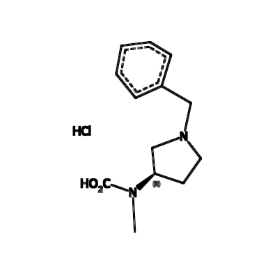 CN(C(=O)O)[C@@H]1CCN(Cc2ccccc2)C1.Cl